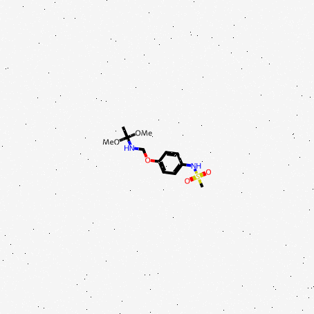 COC(C)(NCOc1ccc(NS(C)(=O)=O)cc1)OC